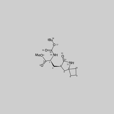 COC(=O)[C@H](C[C@@H]1CC2(CCC2)NC1=O)NC(=O)OC(C)(C)C